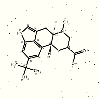 CN1CC(C(=O)O)C[C@@H]2c3cc(C(C)(C)C)cc4[nH]cc(c34)C[C@H]21